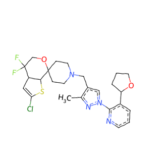 Cc1nn(-c2ncccc2C2CCCO2)cc1CN1CCC2(CC1)OCC(F)(F)C1C=C(Cl)SC12